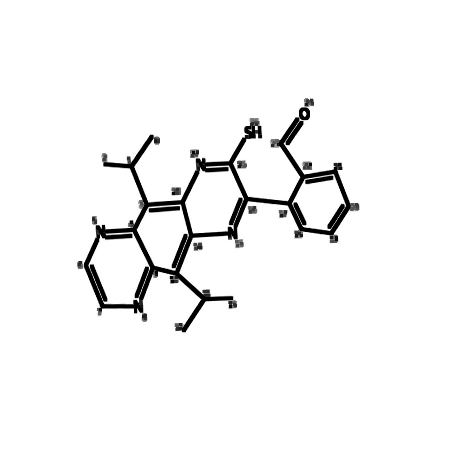 CC(C)c1c2nccnc2c(C(C)C)c2nc(-c3ccccc3C=O)c(S)nc12